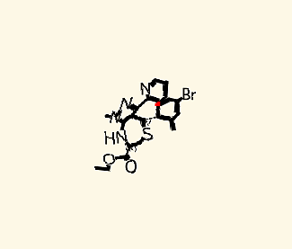 CCOC(=O)[C@@H]1CS[C@@H](c2ccc(Br)cc2C)c2c(-c3ccccn3)nn(C)c2N1